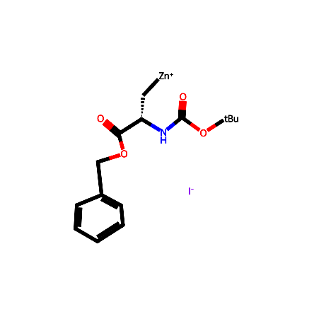 CC(C)(C)OC(=O)N[C@@H]([CH2][Zn+])C(=O)OCc1ccccc1.[I-]